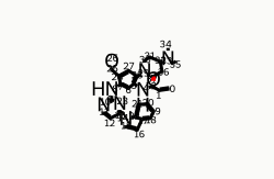 C=CC(=O)Nc1cc(Nc2nccc(-n3ccc4ccccc43)n2)c(C=O)cc1N1CCC(N(C)C)CC1